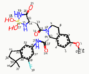 CCOc1ccc2c(c1)CCN(C(=O)C[C@@H]1NS(O)(O)NC1=O)[C@H]2C(=O)Nc1cc(F)c2c(c1)CCC2(C)C